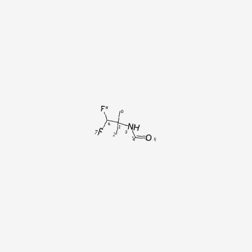 CC(C)(N[C]=O)C(F)F